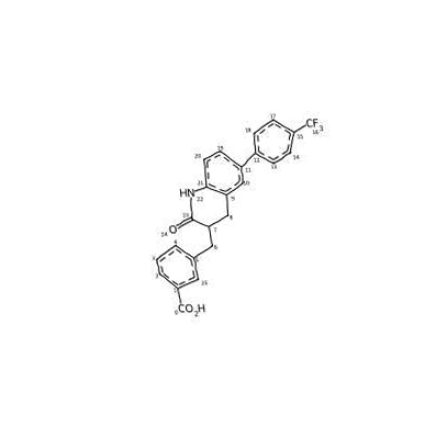 O=C(O)c1cccc(CC2Cc3cc(-c4ccc(C(F)(F)F)cc4)ccc3NC2=O)c1